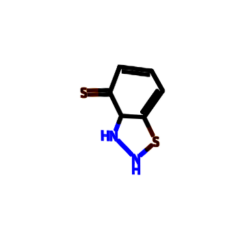 S=C1C=CC=C2SNNC12